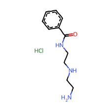 Cl.NCCNCCNC(=O)c1ccccc1